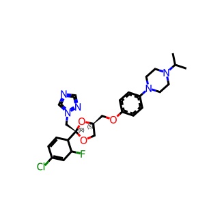 CC(C)N1CCN(c2ccc(OC[C@H]3CO[C@](Cn4cncn4)(C4C=CC(Cl)=CC4F)O3)cc2)CC1